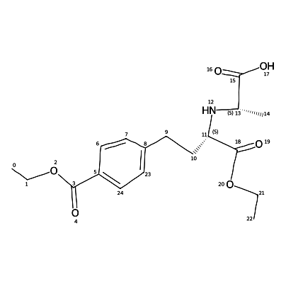 CCOC(=O)c1ccc(CC[C@H](N[C@@H](C)C(=O)O)C(=O)OCC)cc1